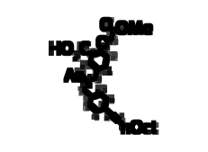 CCCCCCCCC#Cc1ccc(CN(Cc2ccc(OCC(=O)OC)c(C(=O)O)c2)C(C)=O)cc1